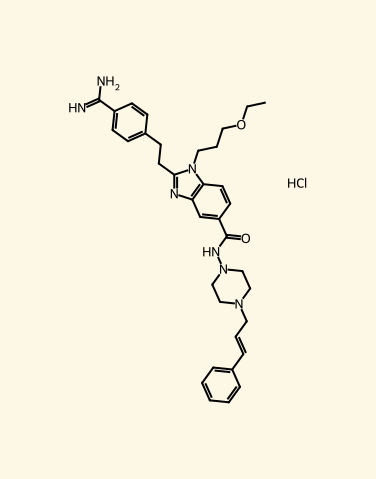 CCOCCCn1c(CCc2ccc(C(=N)N)cc2)nc2cc(C(=O)NN3CCN(CC=Cc4ccccc4)CC3)ccc21.Cl